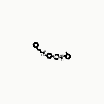 Cc1ccccc1NC(=O)N1CCN(c2ccc(NC(=O)CCCc3ccccc3)cc2)CC1